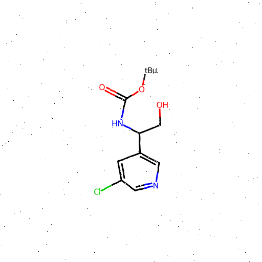 CC(C)(C)OC(=O)NC(CO)c1cncc(Cl)c1